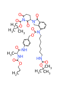 C=CCOC(=O)N[C@@H](C)C(=O)Nc1ccc(COC(=O)N(CCCCCCCNC(=O)OC(C)(C)C)c2cccc3c2CN(C2CCC(=O)N(C(=O)OC(C)(C)C)C2=O)C3=O)cc1